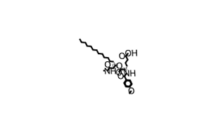 CCCCCCCCCCCCC[C@@H](CC(=O)NC)OC(=O)[C@H](CCCC(=O)O)NC(=O)c1ccc(OC)cc1